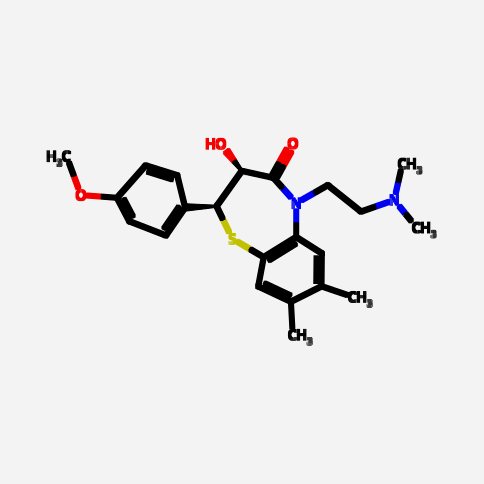 COc1ccc([C@@H]2Sc3cc(C)c(C)cc3N(CCN(C)C)C(=O)[C@@H]2O)cc1